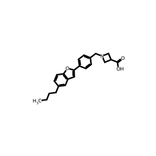 CCCCc1ccc2oc(-c3ccc(CN4CC(C(=O)O)C4)cc3)cc2c1